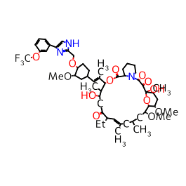 CCC1/C=C(\C)CC(C)CC(OC)C2OC(O)(C(=O)C(=O)N3CCCCC3C(=O)OC(C(C)=CC3CCC(OCc4nc(-c5cccc(OC(F)(F)F)c5)c[nH]4)C(OC)C3)C(C)C(O)CC1=O)C(C)CC2OC